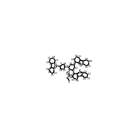 C=CC(=O)Oc1c(-c2ccc(-n3c4ccccc4c4ccccc43)cc2)cc(-c2cccc3c2sc2ccccc23)cc1-c1cccc2c1sc1ccccc12